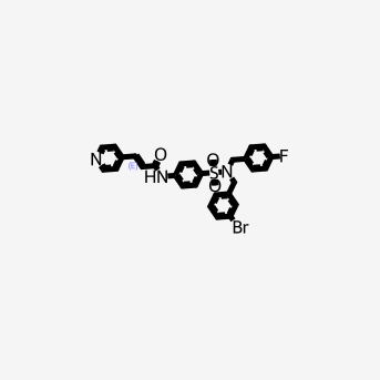 O=C(/C=C/c1ccncc1)Nc1ccc(S(=O)(=O)N(Cc2ccc(F)cc2)Cc2cccc(Br)c2)cc1